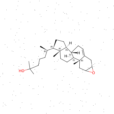 C[C@H](CCCC(C)(C)O)[C@H]1CC[C@H]2[C@@H]3CC=C4CC5OC5C[C@]4(C)[C@H]3CC[C@]12C